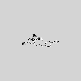 CCCC1CCC(CCCC(CC(C)C(C)C)C(N)CC(C)CC)CC1